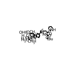 CC(C)(COC=O)Cc1c(B2OC(C)(C)C(C)(C)O2)[nH]c2ccc(-c3csc(C[C@H](NC(=O)OC(C)(C)C)C(=O)N4CCCCN4)n3)cc12